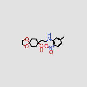 Cc1ccc([N+](=O)[O-])c(NCCC2(O)CCC3(CC2)OCCO3)c1